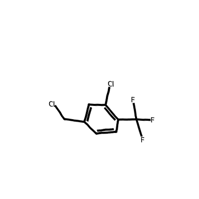 FC(F)(F)c1ccc(CCl)cc1Cl